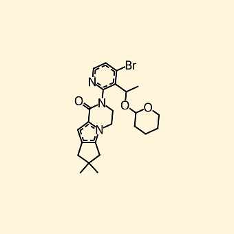 CC(OC1CCCCO1)c1c(Br)ccnc1N1CCn2c(cc3c2CC(C)(C)C3)C1=O